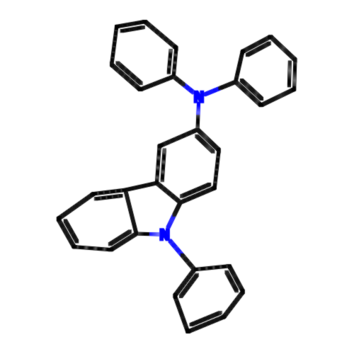 c1ccc(N(c2ccccc2)c2ccc3c(c2)c2ccccc2n3-c2ccccc2)cc1